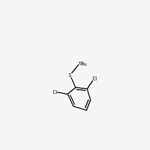 CC(C)(C)Sc1c(Cl)cccc1Cl